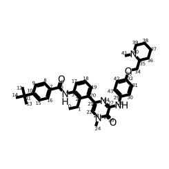 CCc1c(NC(=O)c2ccc(C(C)(C)C)cc2)cccc1-c1cn(C)c(=O)c(Nc2ccc(OCC3CCCCN3C)cc2)n1